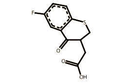 O=C(O)CC1CSc2ccc(F)cc2C1=O